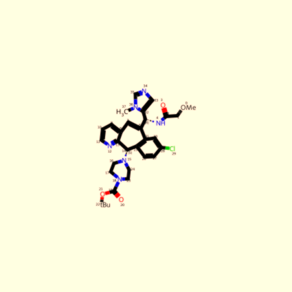 COCC(=O)N[C@H](C1=Cc2cccnc2[C@@H](N2CCN(C(=O)OC(C)(C)C)CC2)c2ccc(Cl)cc21)c1cncn1C